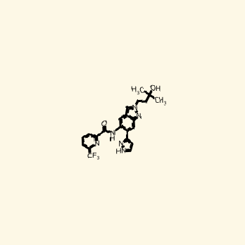 CC(C)(O)CCn1cc2cc(NC(=O)c3cccc(C(F)(F)F)n3)c(-c3cc[nH]n3)cc2n1